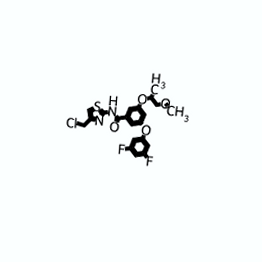 COCC(C)Oc1cc(Oc2cc(F)cc(F)c2)cc(C(=O)Nc2nc(CCl)cs2)c1